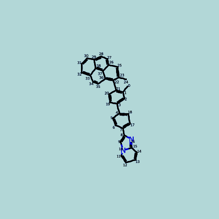 Cc1cc(-c2ccc(-c3cn4ccccc4n3)cc2)ccc1-c1c(C)cc2ccc3cccc4ccc1c2c34